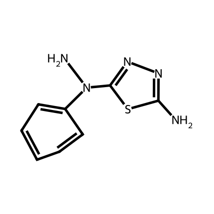 Nc1nnc(N(N)c2ccccc2)s1